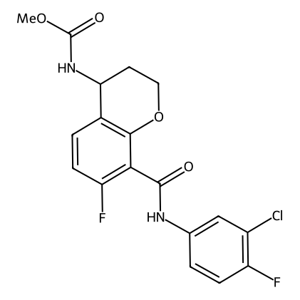 COC(=O)NC1CCOc2c1ccc(F)c2C(=O)Nc1ccc(F)c(Cl)c1